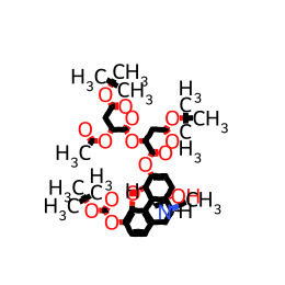 CC(=O)OC(CC(=O)OC(C)(C)C)C(=O)OC(CC(=O)OC(C)(C)C)C(=O)OC1=CC[C@@]2(O)[C@H]3Cc4ccc(OC(=O)OC(C)(C)C)c5c4[C@@]2(CCN3C)[C@H]1O5